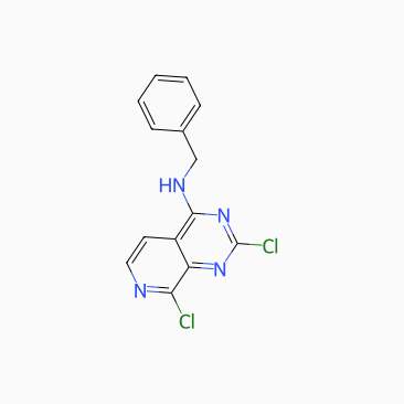 Clc1nc(NCc2ccccc2)c2ccnc(Cl)c2n1